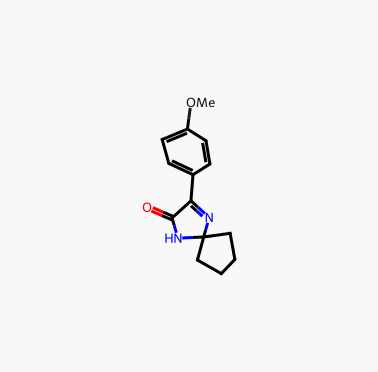 COc1ccc(C2=NC3(CCCC3)NC2=O)cc1